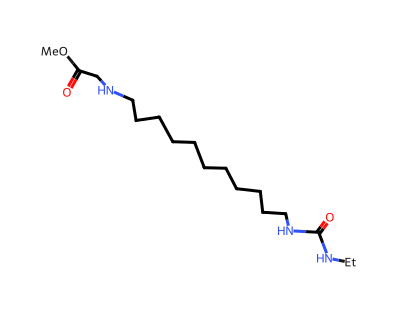 CCNC(=O)NCCCCCCCCCCCNCC(=O)OC